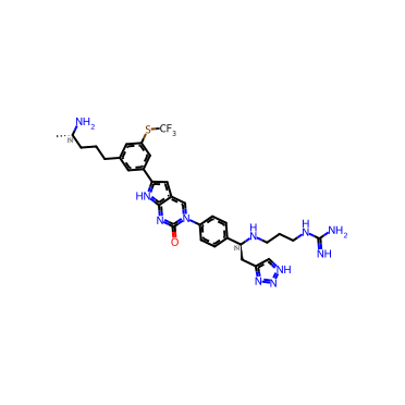 C[C@H](N)CCCc1cc(SC(F)(F)F)cc(-c2cc3cn(-c4ccc([C@H](Cc5c[nH]nn5)NCCCNC(=N)N)cc4)c(=O)nc3[nH]2)c1